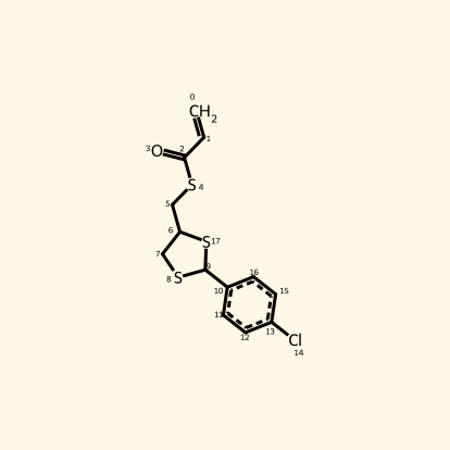 C=CC(=O)SCC1CSC(c2ccc(Cl)cc2)S1